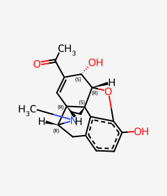 CC(=O)C1=C[C@H]2[C@H]3Cc4ccc(O)c5c4[C@@]2(CCN3C)[C@@H](O5)[C@H]1O